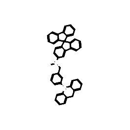 CN(Cc1cccc(N2c3ccccc3Cc3ccccc32)c1)c1ccc2c(c1)-c1ccccc1C21c2ccccc2-c2ccccc21